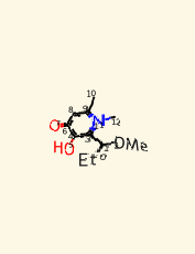 CCC(OC)c1c(O)c(=O)cc(C)n1C